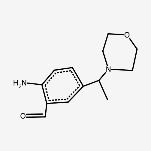 CC(c1ccc(N)c(C=O)c1)N1CCOCC1